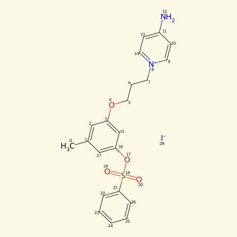 Cc1cc(OCCC[n+]2ccc(N)cc2)cc(OS(=O)(=O)c2ccccc2)c1.[I-]